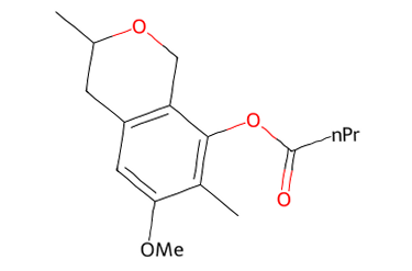 CCCC(=O)Oc1c(C)c(OC)cc2c1COC(C)C2